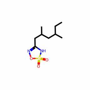 CCC(C)CC(C)CC1=NOS(=O)(=O)N1